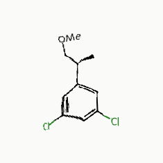 COC[C@@H](C)c1cc(Cl)cc(Cl)c1